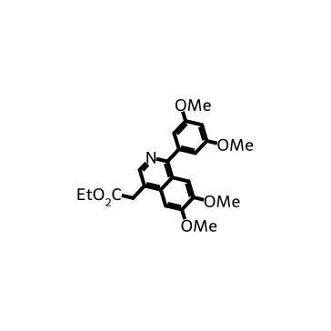 CCOC(=O)Cc1cnc(-c2cc(OC)cc(OC)c2)c2cc(OC)c(OC)cc12